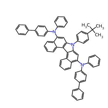 CC(C)(C)c1ccc(-n2c3cc(N(c4ccccc4)c4ccc(-c5ccccc5)cc4)c4ccccc4c3c3c4ccccc4c(N(c4ccccc4)c4ccc(-c5ccccc5)cc4)cc32)cc1